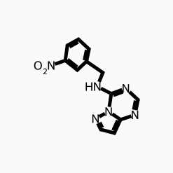 O=[N+]([O-])c1cccc(CNc2ncnc3ccnn23)c1